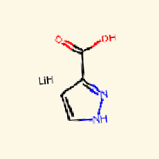 O=C(O)c1cc[nH]n1.[LiH]